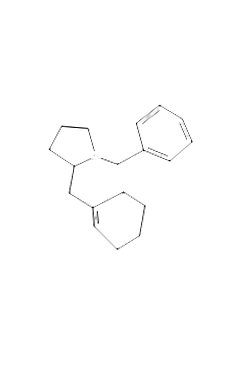 C1=C(CC2CCCN2Cc2ccccc2)CCCC1